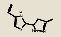 C=CC1=CSC(C2CC(C)=NN2)N1